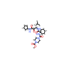 COC(=O)N1CCN(C(=O)NC2(C(=O)N[C@@H](CC(C)C)C(=O)C(=O)NC3CCCC3)CCCCC2)CC1